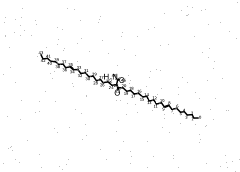 CCCCCCCCC=CCCCCCCCCCCCC(=O)C(CCCCCCCCCCC=CCCCCCCCC)C(N)=O